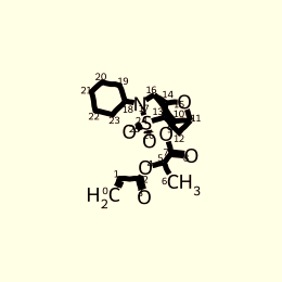 C=CC(=O)OC(C)C(=O)OC1C2CC3C(O2)C1N(C1CCCCC1)S3(=O)=O